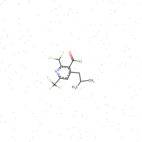 CC(C)Cc1cc(C(F)(F)F)nc(C(F)F)c1C(=O)Cl